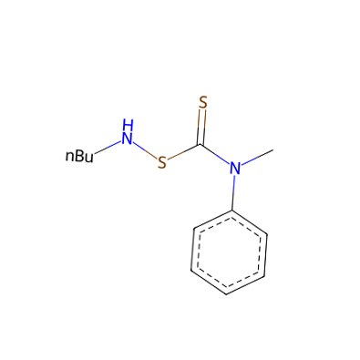 CCCCNSC(=S)N(C)c1ccccc1